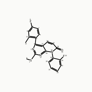 CSc1nc(-c2ccc(F)cc2C)c2ccc(=O)n(-c3ccccc3F)c2n1